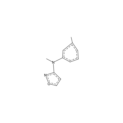 Cc1cccc(N(C)c2ccon2)c1